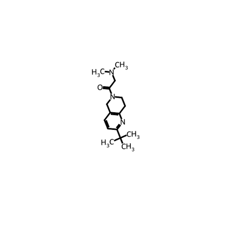 CN(C)CC(=O)N1CCc2nc(C(C)(C)C)ccc2C1